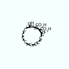 O=C1CCCCCCCCCCCCCCCC(=O)C(C(=O)O)C[C@@H](C(=O)O)N1